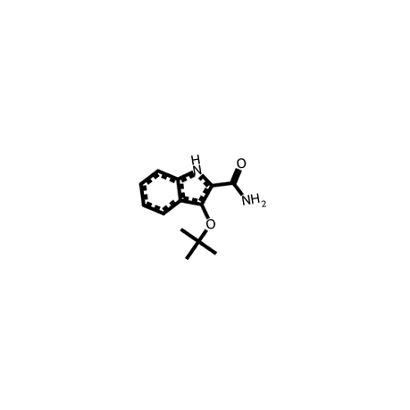 CC(C)(C)Oc1c(C(N)=O)[nH]c2ccccc12